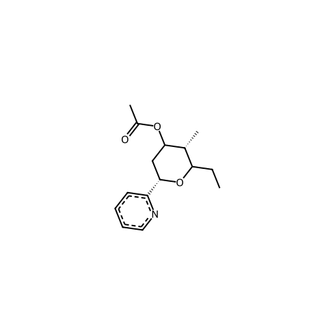 CCC1O[C@H](c2ccccn2)CC(OC(C)=O)[C@@H]1C